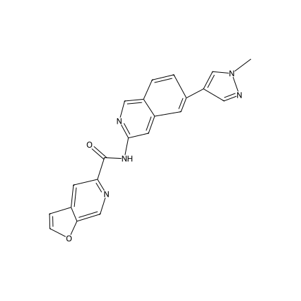 Cn1cc(-c2ccc3cnc(NC(=O)c4cc5ccoc5cn4)cc3c2)cn1